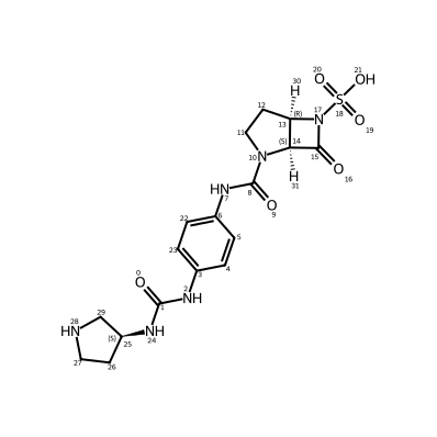 O=C(Nc1ccc(NC(=O)N2CC[C@@H]3[C@H]2C(=O)N3S(=O)(=O)O)cc1)N[C@H]1CCNC1